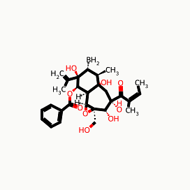 B[C@@H]1[C@@H](C)[C@]2(O)C[C@@](O)(C(=O)/C(C)=C\C)[C@H](O)[C@@]3(CO)O[C@H]3[C@H]2[C@@H](OC(=O)c2ccccc2)[C@]1(O)C(=C)C